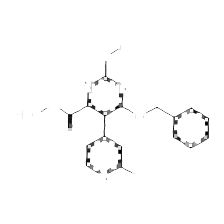 COC(=O)c1nc(SC)nc(OCc2ccccc2)c1-c1ccnc(Cl)c1